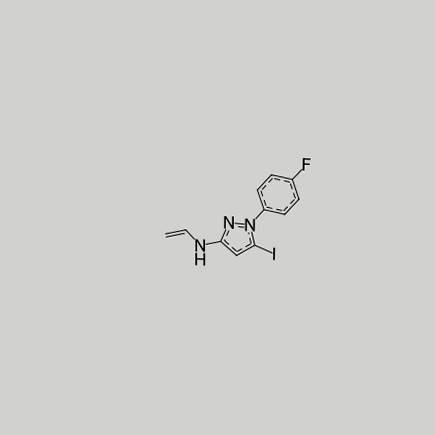 C=CNc1cc(I)n(-c2ccc(F)cc2)n1